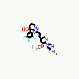 COc1cc(/C=C/c2nc3n(n2)CCCC3(O)c2cc(F)c(F)c(F)c2)cnc1-n1cnc(C)c1